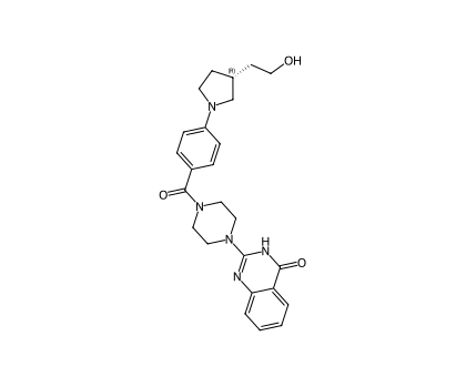 O=C(c1ccc(N2CC[C@H](CCO)C2)cc1)N1CCN(c2nc3ccccc3c(=O)[nH]2)CC1